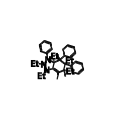 CCN1C2=C(C)C(C)(CC)C(CC)(c3ccccc3)C(C)(C3C=CC=CC3)C2(CC)N(c2ccccc2)N1CC